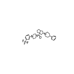 O=C(N1CCN(c2cccc(C(F)(F)F)c2)CC1)C12CCCC1CC(N1CCC(c3ccccc3)CC1)C2